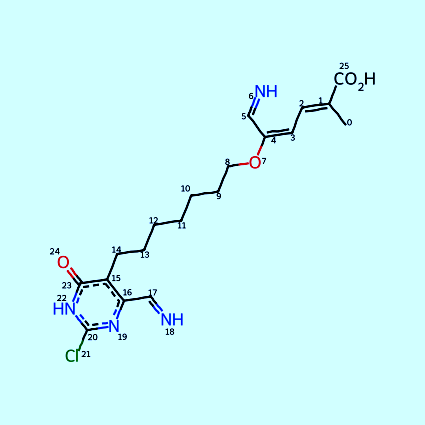 C/C(=C\C=C(/C=N)OCCCCCCCc1c(C=N)nc(Cl)[nH]c1=O)C(=O)O